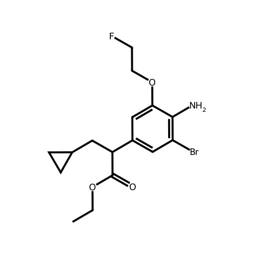 CCOC(=O)C(CC1CC1)c1cc(Br)c(N)c(OCCF)c1